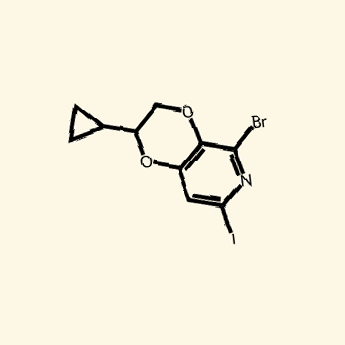 Brc1nc(I)cc2c1OCC(C1CC1)O2